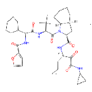 CCC[C@H](NC(=O)[C@@H]1C[C@@H]2CCCC[C@@H]2N1C(=O)[C@@H](NC(=O)C(NC(=O)c1ccco1)C1CCCCC1)C(C)(C)C)C(=O)C(=O)NC1CC1